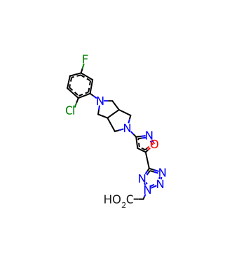 O=C(O)Cn1nnc(-c2cc(N3CC4CN(c5cc(F)ccc5Cl)CC4C3)no2)n1